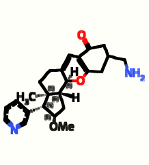 CO[C@@H]1C[C@H]2[C@@H]3OC4=C(C=C3CC[C@]2(C)[C@H]1c1cccnc1)C(=O)CC(CN)C4